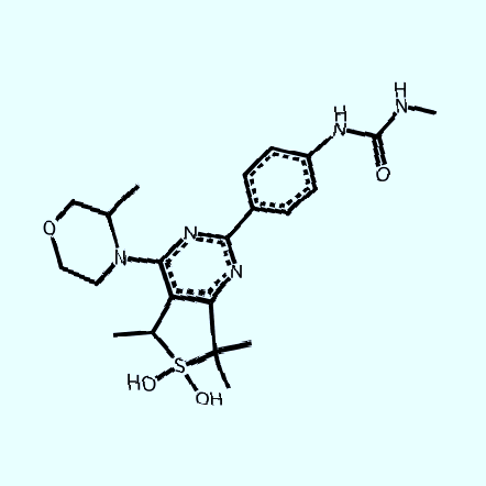 CNC(=O)Nc1ccc(-c2nc(N3CCOCC3C)c3c(n2)C(C)(C)S(O)(O)C3C)cc1